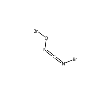 BrN=C=NOBr